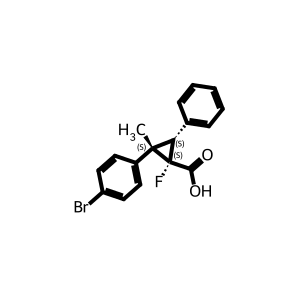 C[C@@]1(c2ccc(Br)cc2)[C@H](c2ccccc2)[C@@]1(F)C(=O)O